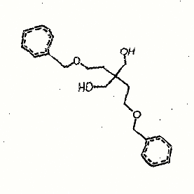 OCC(CO)(CCOCc1ccccc1)CCOCc1ccccc1